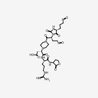 N=C(N)NCCC[C@@H](NC(=O)[C@H](CC(=O)O)N1CCN(C(=O)[C@H](CCN=O)N2C(=O)N[C@@H](CCCN=O)C2=O)CC1)C(=O)NC1CCOC1=O